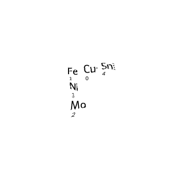 [Cu].[Fe].[Mo].[Ni].[Sn]